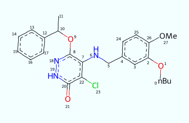 CCCCOc1cc(CNc2c(OC(C)c3ccccc3)n[nH]c(=O)c2Cl)ccc1OC